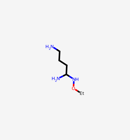 CCONC(N)CCCN